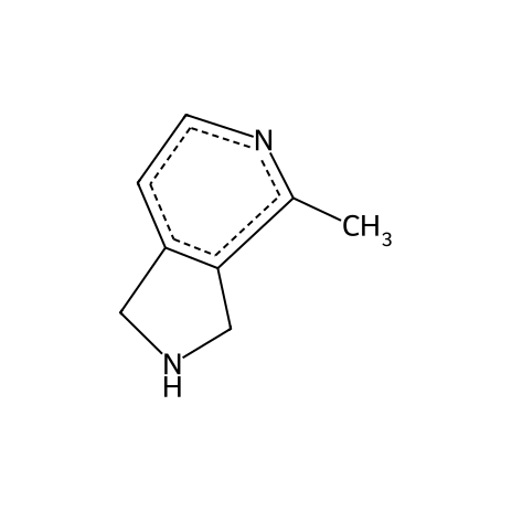 Cc1nccc2c1CNC2